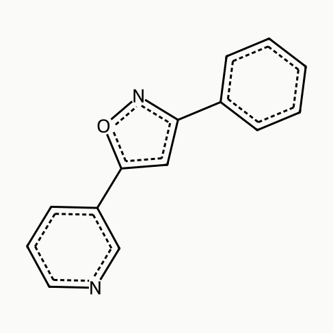 c1ccc(-c2cc(-c3cccnc3)on2)cc1